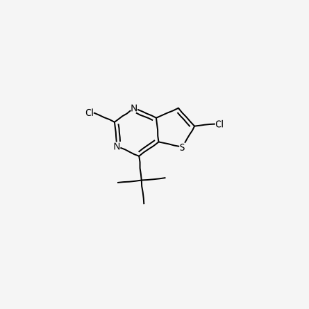 CC(C)(C)c1nc(Cl)nc2cc(Cl)sc12